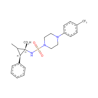 CC1[C@H](c2ccccc2)[C@]1(NS(=O)(=O)N1CCN(c2ccc(C(F)(F)F)cc2)CC1)C(=O)O